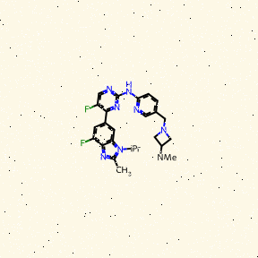 CNC1CN(Cc2ccc(Nc3ncc(F)c(-c4cc(F)c5nc(C)n(C(C)C)c5c4)n3)nc2)C1